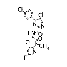 CN1C(=O)[C@@H](NC(=O)c2ncc(Cl)c(-c3ccc(Cl)cc3)n2)COc2cc(F)cnc21